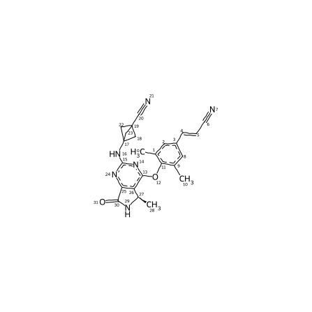 Cc1cc(/C=C/C#N)cc(C)c1Oc1nc(NC23CC(C#N)(C2)C3)nc2c1[C@@H](C)NC2=O